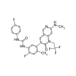 CNc1cc2c(cn1)cc(-c1cc(NC(=O)Nc3ccc(F)cc3)c(F)cc1C)c(=O)n2CC(F)(F)F